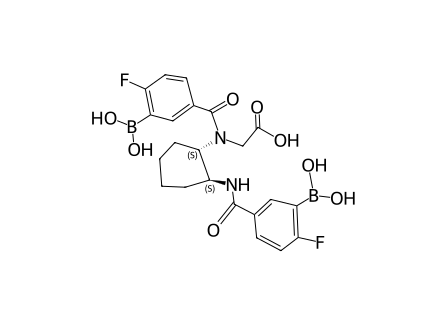 O=C(O)CN(C(=O)c1ccc(F)c(B(O)O)c1)[C@H]1CCCC[C@@H]1NC(=O)c1ccc(F)c(B(O)O)c1